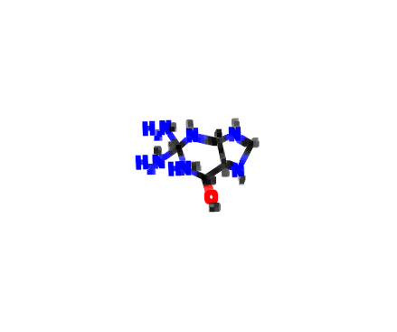 NC1(N)N=C2N=CN=C2C(=O)N1